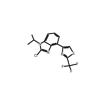 CC(C)n1c(Cl)nc2c(-c3csc(C(F)(F)F)n3)cccc21